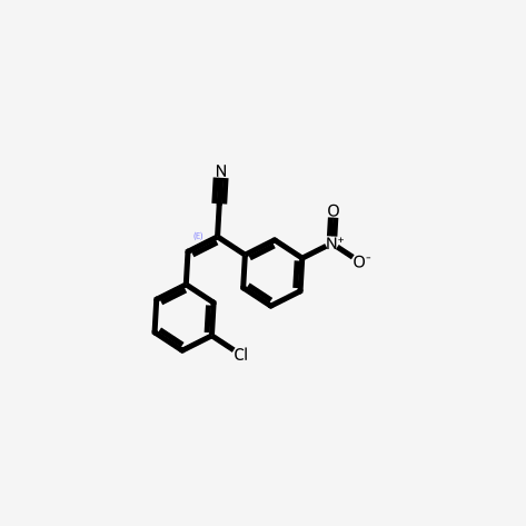 N#C/C(=C/c1cccc(Cl)c1)c1cccc([N+](=O)[O-])c1